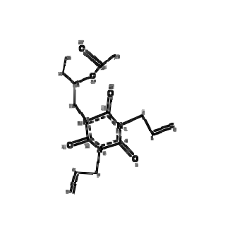 C=CCn1c(=O)n(CC=C)c(=O)n(CC(CC)OC(C)=O)c1=O